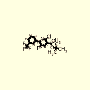 CC(C)(C)OC(=O)c1cc(F)c(-c2cccc(C(F)(F)F)c2)nc1Cl